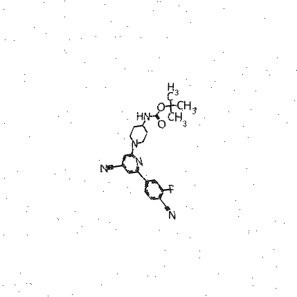 CC(C)(C)OC(=O)NC1CCN(c2cc(C#N)cc(-c3ccc(C#N)c(F)c3)n2)CC1